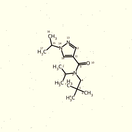 CC(C)N(CC(C)(C)C)C(=O)c1cnn(C(C)C)c1